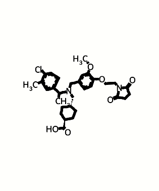 COc1cc(CN(C[C@H]2CC[C@H](C(=O)O)CC2)C(C)c2ccc(Cl)c(C)c2)ccc1OCCN1C(=O)CCC1=O